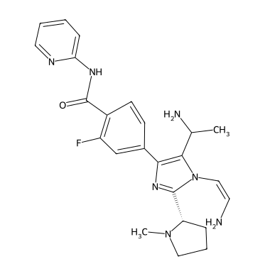 CC(N)c1c(-c2ccc(C(=O)Nc3ccccn3)c(F)c2)nc([C@@H]2CCCN2C)n1/C=C\N